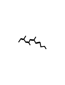 CC=C(C)C=C(C)C=C(C)C=CCCC